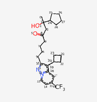 CC(O)(CC(=O)CCCCc1nn2ccc(C(F)(F)F)cc2c1C1CCC1)C1CCCC1